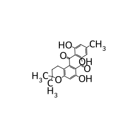 Cc1cc(O)c(C(=O)c2c(C=O)c(O)cc3c2CCC(C)(C)O3)c(O)c1